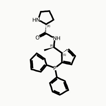 C[C@@H](NC(=O)[C@H]1CCCN1)[C@@H]1C=CC=C1P(c1ccccc1)c1ccccc1